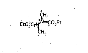 CCOC(=O)N(C)N(C)C(=O)OCC